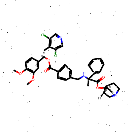 COc1ccc([C@H](Cc2c(Cl)cncc2Cl)OC(=O)c2ccc(CNC(C)(C(=O)O[C@H]3CN4CCC3CC4)c3ccccc3)cc2)cc1OC